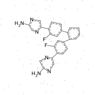 Nc1cnc(-c2ccc(-c3ccccc3-c3ccc(-c4cnc(N)cn4)c(F)c3)cc2F)cn1